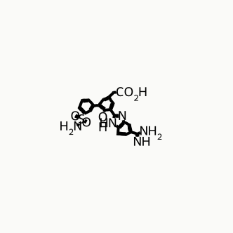 N=C(N)c1ccc2[nH]c(-c3cc(CC(=O)O)cc(-c4cccc(S(N)(=O)=O)c4)c3O)nc2c1